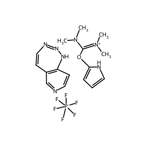 C1=Cc2cnccc2NN=N1.CN(C)C(Oc1ccc[nH]1)=[N+](C)C.F[P-](F)(F)(F)(F)F